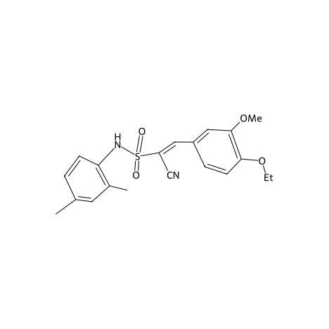 CCOc1ccc(/C=C(\C#N)S(=O)(=O)Nc2ccc(C)cc2C)cc1OC